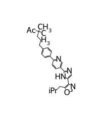 CC(=O)C(C)(C)CCCc1ccc(-c2ccc(-c3ncc(-c4ncoc4CC(C)C)[nH]3)cn2)cc1